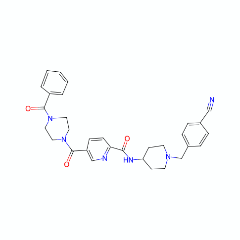 N#Cc1ccc(CN2CCC(NC(=O)c3ccc(C(=O)N4CCN(C(=O)c5ccccc5)CC4)cn3)CC2)cc1